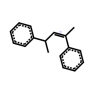 C/C(=C/C(C)c1ccccc1)c1ccccc1